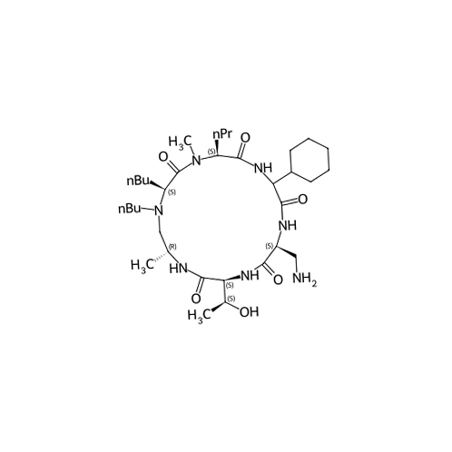 CCCC[C@H]1C(=O)N(C)[C@@H](CCC)C(=O)NC(C2CCCCC2)C(=O)N[C@@H](CN)C(=O)N[C@@H]([C@H](C)O)C(=O)N[C@H](C)CN1CCCC